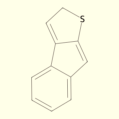 C1=C2SCC=C2c2ccccc21